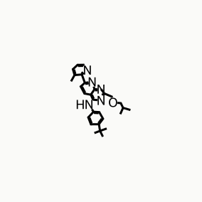 Cc1cccnc1-c1ccc2c(Nc3ccc(C(C)(C)C)cc3)nc(COCC(C)C)nc2n1